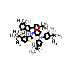 Cc1cc2c3c(c1)N(c1cc4c(cc1-c1ccc(C(C)(C)C)cc1)C(C)(C)CCC4(C)C)C1c4cc(C(C)(C)C)ccc4SC1B3c1cc(C(C)(C)C)ccc1N2c1ccc(C(C)(C)C)cc1